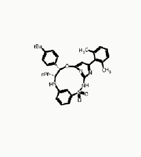 CCC[C@H]1Nc2cccc(c2)S(=O)(=O)Nc2nc(cc(-c3c(C)cccc3C)n2)O[C@H]1c1ccc(C(C)(C)C)cc1